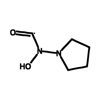 O=[C]N(O)N1CCCC1